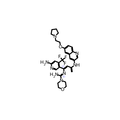 C=C(/C=C(\N=C(/N)N1CCOCC1)c1cnc(N)cc1C(F)(F)F)Nc1cnc2ccc(OCCN3CCCC3)cc2c1